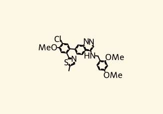 COc1ccc(CNc2cnnc3cc(-c4cc(Cl)c(OC)cc4-c4ncc(C)s4)ccc23)c(OC)c1